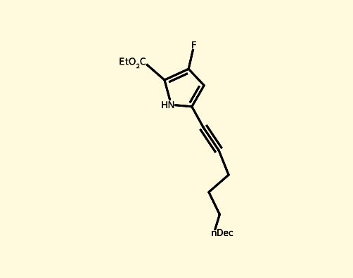 CCCCCCCCCCCCCC#Cc1cc(F)c(C(=O)OCC)[nH]1